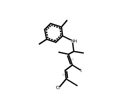 C/C(=C(I)\C=C(/C)Cl)C(C)Nc1cc(C)ccc1C